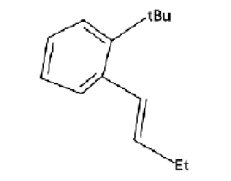 CCC=Cc1ccccc1C(C)(C)C